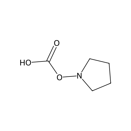 O=C(O)ON1CCCC1